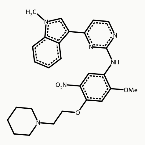 COc1cc(OCCN2CCCCC2)c([N+](=O)[O-])cc1Nc1nccc(-c2cn(C)c3ccccc23)n1